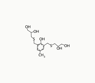 Cc1cc(CSCC(O)CO)c(O)c(CSCC(O)CO)c1